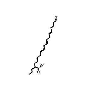 CC/C=C(/C/C=C/C/C=C/C/C=C/C/C=C/CCC[C]=O)[N+](=O)[O-]